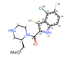 COC[C@H]1CNCCN1C(=O)c1[nH]c2ccc(F)c(Cl)c2c1F